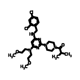 COCCN(CCOC)c1cc(NCc2ccc(Cl)cc2Cl)nc(N2CCN(C(=O)C(C)C)CC2)n1